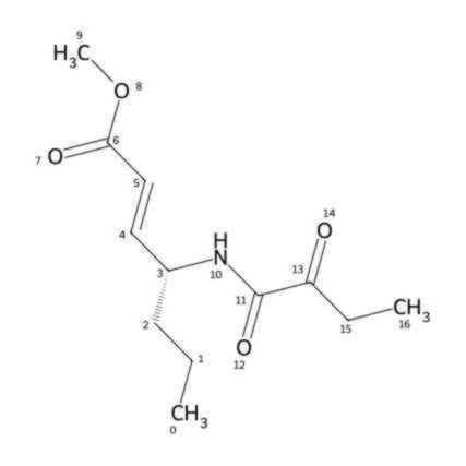 CCC[C@H](/C=C/C(=O)OC)NC(=O)C(=O)CC